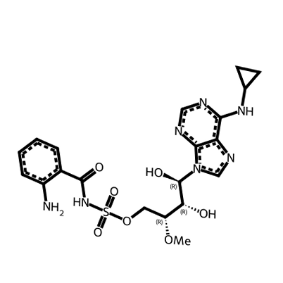 CO[C@H](COS(=O)(=O)NC(=O)c1ccccc1N)[C@@H](O)[C@@H](O)n1cnc2c(NC3CC3)ncnc21